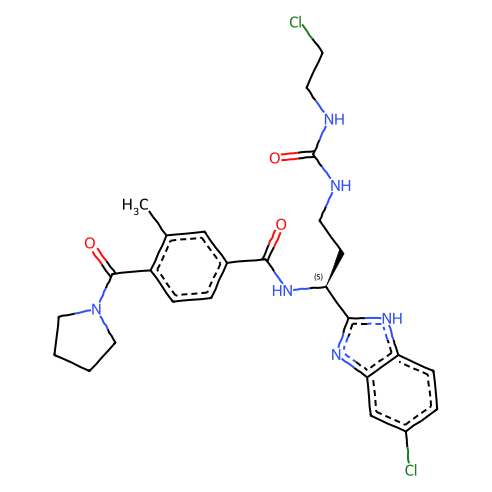 Cc1cc(C(=O)N[C@@H](CCNC(=O)NCCCl)c2nc3cc(Cl)ccc3[nH]2)ccc1C(=O)N1CCCC1